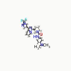 CN(C)c1ccc(NC(=O)N2CCC[C@@H](c3nc(-c4cnn(C(F)F)c4)c4ccccn34)C2)cc1